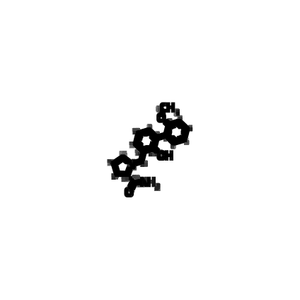 COc1ccccc1-c1cccc(CN2CCC[C@H]2C(N)=O)c1O